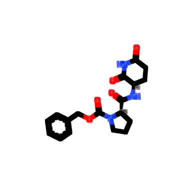 O=C1CC[C@@H](NC(=O)[C@@H]2CCCN2C(=O)OCc2ccccc2)C(=O)N1